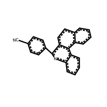 N#Cc1ccc(-c2nc3ccccc3c3c2ccc2ccccc23)cc1